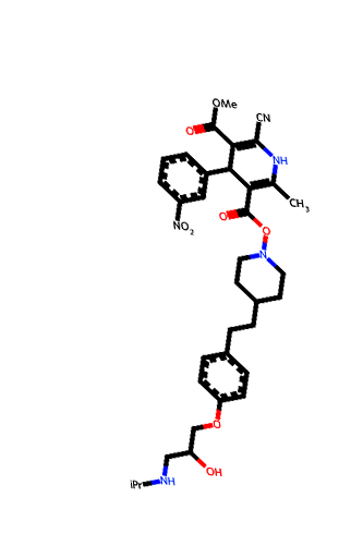 COC(=O)C1=C(C#N)NC(C)=C(C(=O)ON2CCC(CCc3ccc(OCC(O)CNC(C)C)cc3)CC2)C1c1cccc([N+](=O)[O-])c1